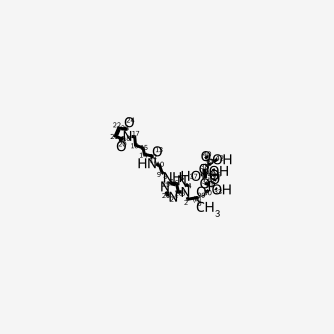 C[C@H](Cn1cnc2c(NCCNC(=O)CCCCN3C(=O)C=CC3=O)ncnc21)OCP(=O)(O)OP(=O)(O)OP(=O)(O)O